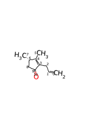 C=CCC1=C(C)[C@@H](C)CC1=O